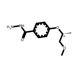 COC[C@@H](C)Oc1ccc(C(=O)NN)cc1